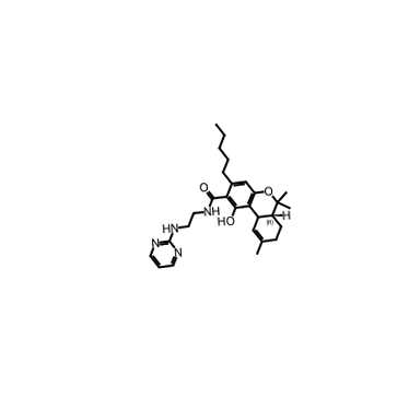 CCCCCc1cc2c(c(O)c1C(=O)NCCNc1ncccn1)C1C=C(C)CC[C@H]1C(C)(C)O2